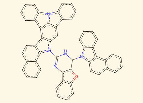 c1ccc2c(c1)ccc1c2c2ccccc2n1C1NC(n2c3cc4c5ccccc5n5c6ccccc6c(c3c3ccc6ccccc6c32)c45)=Nc2c1oc1ccccc21